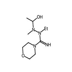 CCN(C(=N)N1CCOCC1)N(C)C(C)O